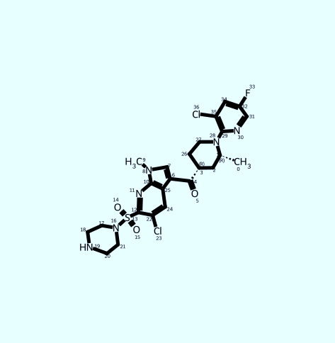 C[C@@H]1C[C@H](C(=O)c2cn(C)c3nc(S(=O)(=O)N4CCNCC4)c(Cl)cc23)CCN1c1ncc(F)cc1Cl